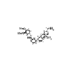 COc1ccc(CNc2nccc(-c3cccc(CN(CCCN)S(C)(=O)=O)c3)n2)cc1OC